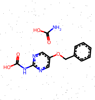 NC(=O)O.O=C(O)Nc1ncc(OCc2ccccc2)cn1